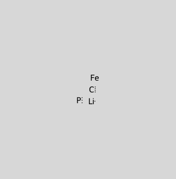 [C].[Fe].[Li].[P]